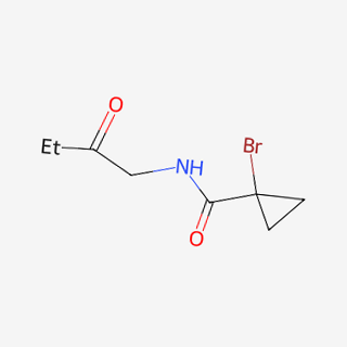 CCC(=O)CNC(=O)C1(Br)CC1